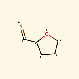 S=[C]C1CCCO1